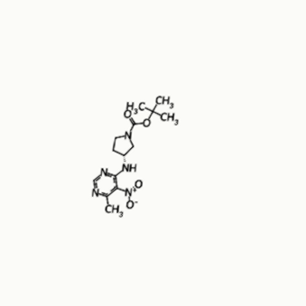 Cc1ncnc(N[C@@H]2CCN(C(=O)OC(C)(C)C)C2)c1[N+](=O)[O-]